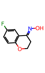 ON=C1CCOc2ccc(F)cc21